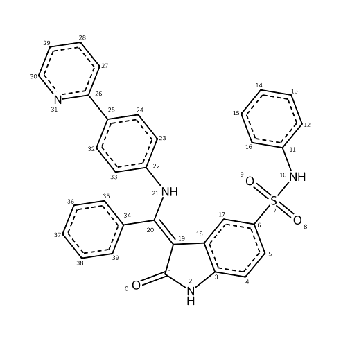 O=C1Nc2ccc(S(=O)(=O)Nc3ccccc3)cc2C1=C(Nc1ccc(-c2ccccn2)cc1)c1ccccc1